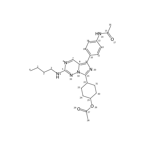 CCCCNc1ncc2c(-c3ccc(NC(C)=O)cc3)nc(C3CCC(OC(C)=O)CC3)n2n1